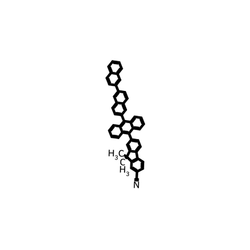 CC1(C)c2cc(C#N)ccc2-c2ccc(-c3c4ccccc4c(-c4ccc5cc(-c6ccc7ccccc7c6)ccc5c4)c4ccccc34)cc21